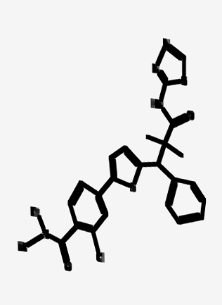 CCN(CC)C(=O)c1ccc(-c2ccc(C(c3ccccc3)C(C)(C)C(=O)Nc3nncs3)s2)cc1Cl